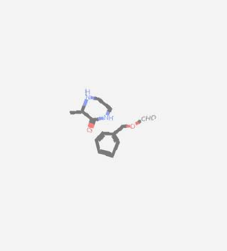 CC1NCCNC1=O.O=COCc1ccccc1